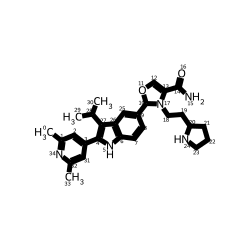 Cc1cc(-c2[nH]c3ccc(C4OC=C(C(N)=O)N4CCC4CCCN4)cc3c2C(C)C)cc(C)n1